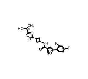 C[C@H](O)c1nnc([C@H]2C[C@H](NC(=O)c3cc(-c4ccc(F)cc4F)on3)C2)o1